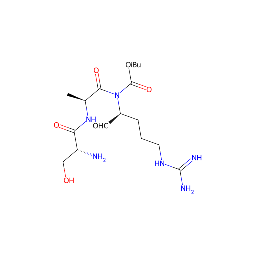 CC(C)COC(=O)N(C(=O)[C@H](C)NC(=O)[C@H](N)CO)[C@H](C=O)CCCNC(=N)N